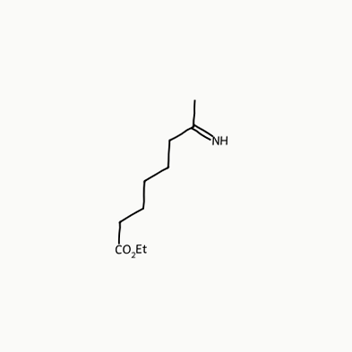 CCOC(=O)CCCCCC(C)=N